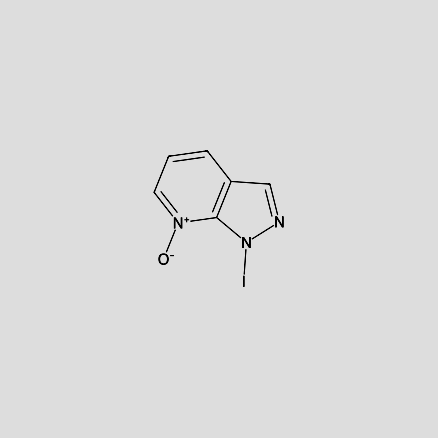 [O-][n+]1cccc2cnn(I)c21